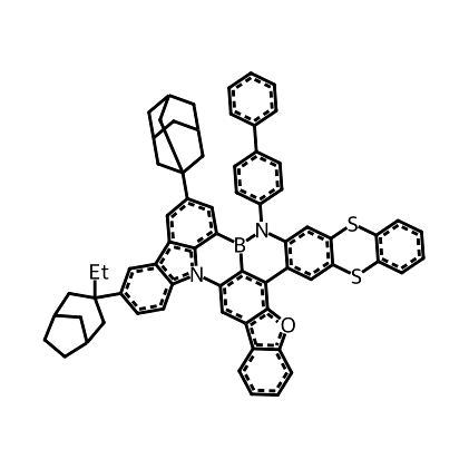 CCC1(c2ccc3c(c2)c2cc(C45CC6CC(CC(C6)C4)C5)cc4c2n3-c2cc3c(oc5ccccc53)c3c2B4N(c2ccc(-c4ccccc4)cc2)c2cc4c(cc2-3)Sc2ccccc2S4)CC2CCC(C2)C1